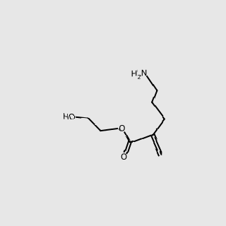 C=C(CCCN)C(=O)OCCO